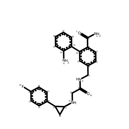 NC(=O)c1ccc(CNC(=O)CNC2CC2c2ccc(F)cc2)cc1-c1ccccc1N